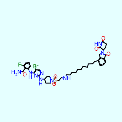 NC(=O)c1c(F)cccc1Nc1nc(NC2CCN(S(=O)(=O)CCNCCCCCCCCCCCc3cccc4c3CN(C3CCC(=O)NC3=O)C4=O)CC2)ncc1Br